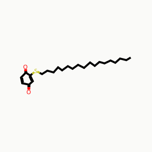 CCCCCCCCCCCCCCCCCCSC1=CC(=O)C=CC1=O